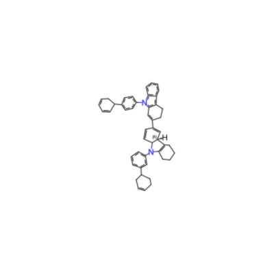 C1=CCC(c2ccc(-n3c4c(c5ccccc53)CCC(C3=C[C@@H]5C6=C(CCCC6)N(c6cccc(C7CC=CCC7)c6)C5C=C3)=C4)cc2)C=C1